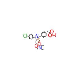 CC(=O)O.CCN(CC)C(C)OC(=O)Cc1sc(-c2ccccc2)nc1-c1ccc(Cl)cc1